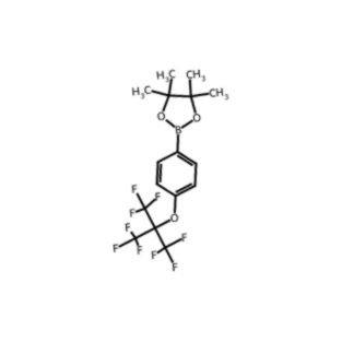 CC1(C)OB(c2ccc(OC(C(F)(F)F)(C(F)(F)F)C(F)(F)F)cc2)OC1(C)C